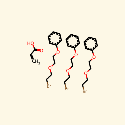 BrCCOCCOc1ccccc1.BrCCOCCOc1ccccc1.BrCCOCCOc1ccccc1.C=CC(=O)O